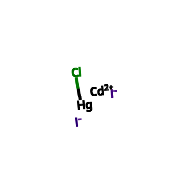 [Cd+2].[Cl][Hg].[I-].[I-]